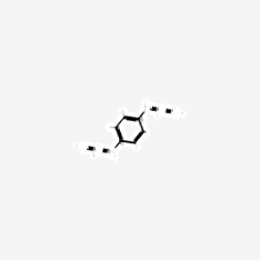 S=C=Nc1ccc(N=C=S)cc1